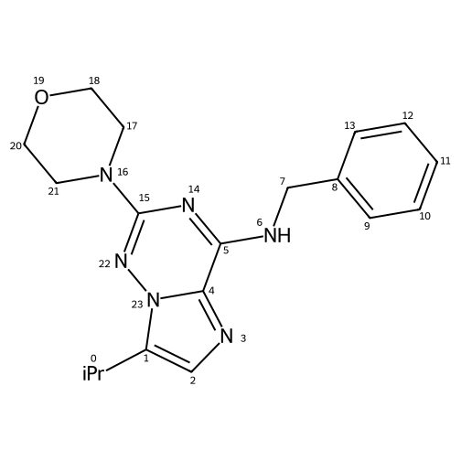 CC(C)c1cnc2c(NCc3ccccc3)nc(N3CCOCC3)nn12